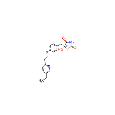 CCc1ccc(CCOc2ccc(C[C@]3(O)SC(=O)NC3=O)cc2)nc1